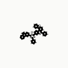 CC1(C)c2ccccc2-c2cc(C3N=C(c4ccccc4)N=C(c4ccc5c(c4)nc(-c4ccccc4)c4ccc6oc7ccccc7c6c45)N3)ccc21